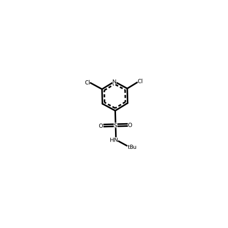 CC(C)(C)NS(=O)(=O)c1cc(Cl)nc(Cl)c1